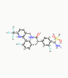 CC(C(=O)NCc1ccc(C(F)(F)F)nc1-c1ccccc1F)c1ccc(C(N)S(C)(=O)=O)c(F)c1